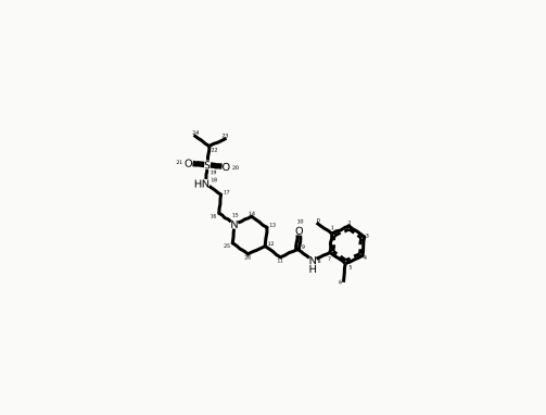 Cc1cccc(C)c1NC(=O)CC1CCN(CCNS(=O)(=O)C(C)C)CC1